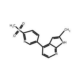 Cc1cc2c(-c3ccc(S(C)(=O)=O)nc3)ccnc2[nH]1